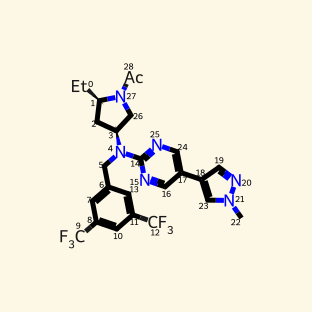 CC[C@@H]1C[C@H](N(Cc2cc(C(F)(F)F)cc(C(F)(F)F)c2)c2ncc(-c3cnn(C)c3)cn2)CN1C(C)=O